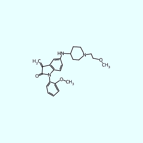 C=C1C(=O)N(c2ccccc2OC)c2ccc(NC3CCN(CCOC)CC3)cc21